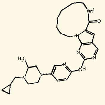 CC1CN(c2ccc(Nc3ncc4cc5n(c4n3)CCCCCCCNC5=O)nc2)CCN1CC1CC1